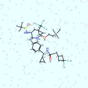 CC(C)(C)[S@@+]([O-])N[C@@H](CC1(C(F)(F)F)CC1)c1nc2ccc([C@H](NC(=O)CC3CC(F)(F)C3)C3CC3)cc2n1COCC[Si](C)(C)C